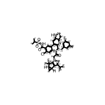 CC(C)S(=O)(=O)NC(=O)c1cc(-c2cc3[nH]ncc3nc2[C@H](Cc2cc(F)cc(F)c2)NC(=O)Cn2nc(C(F)F)c3c2C(F)(F)[C@@H]2C[C@H]32)ccc1Cl